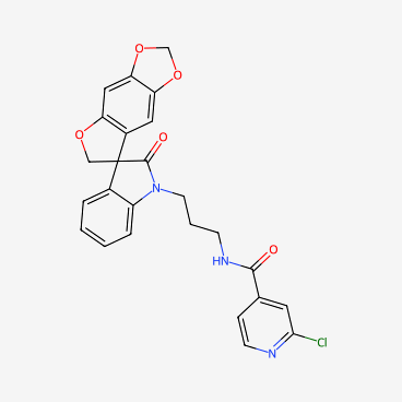 O=C(NCCCN1C(=O)C2(COc3cc4c(cc32)OCO4)c2ccccc21)c1ccnc(Cl)c1